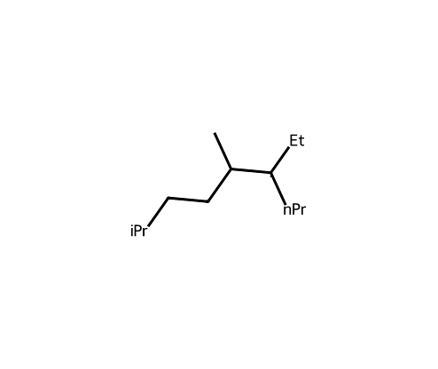 CCC[C](CC)C(C)CCC(C)C